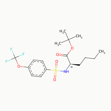 CCCC[C@@H](NS(=O)(=O)c1ccc(OC(F)(F)F)cc1)C(=O)OC(C)(C)C